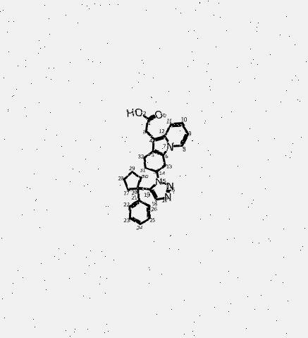 O=C(O)Cc1c2c(n3ccccc13)CC(n1nncc1C1(c3ccccc3)CCCC1)CC2